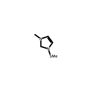 CSN1C=CN(C)C1